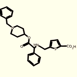 O=C(O)c1ccc(CNC(C(=O)OC2CCN(Cc3ccccc3)CC2)c2ccccc2)s1